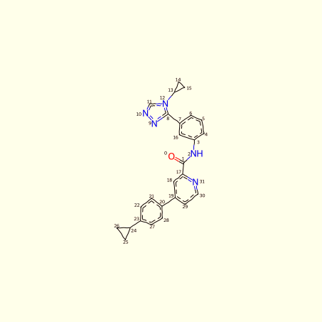 O=C(Nc1cccc(-c2nncn2C2CC2)c1)c1cc(-c2ccc(C3CC3)cc2)ccn1